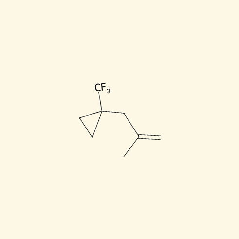 C=C(C)CC1(C(F)(F)F)CC1